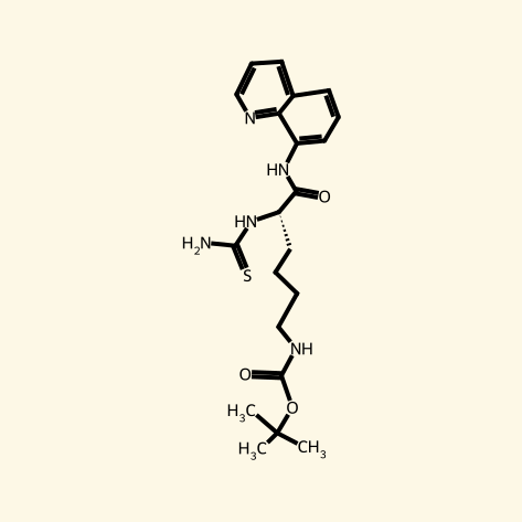 CC(C)(C)OC(=O)NCCCC[C@H](NC(N)=S)C(=O)Nc1cccc2cccnc12